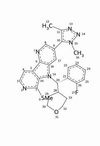 CSc1nccc2c3ncc(-c4c(C)nnn4C)cc3n([C@H](c3ccccc3F)C3CCOCC3)c12